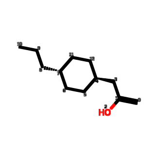 C=C(O)C[C@H]1CC[C@H](CCC)CC1